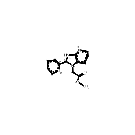 COC(=O)CN1c2cccnc2NC1c1ccccn1